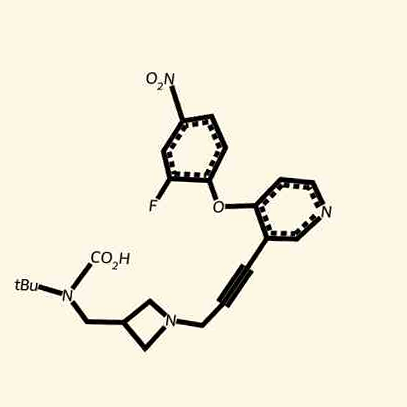 CC(C)(C)N(CC1CN(CC#Cc2cnccc2Oc2ccc([N+](=O)[O-])cc2F)C1)C(=O)O